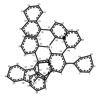 c1ccc(-c2cc3c(c(N(c4ccccc4-c4cccc5ccccc45)c4ccccc4-c4cccc5oc6ccccc6c45)c2-c2ccccc2)Cc2ccccc2-3)cc1